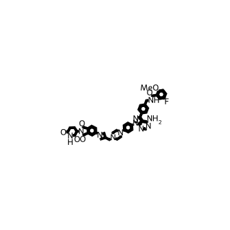 COc1ccc(F)cc1C(=O)NCc1ccc(-c2nn(-c3ccc(N4CCN(CC5CN(c6ccc7c(c6)C(=O)N(C6CCC(=O)NC6=O)C7=O)C5)CC4)cc3)c3ncnc(N)c23)cc1